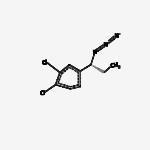 CC[C@@H](N=[N+]=[N-])c1ccc(Cl)c(Cl)c1